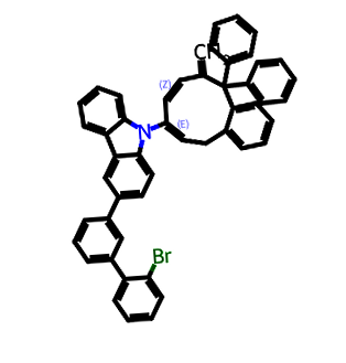 C=C1/C=C\C(n2c3ccccc3c3cc(-c4cccc(-c5ccccc5Br)c4)ccc32)=C/Cc2ccccc2C1(c1ccccc1)c1ccccc1